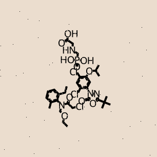 CC(C)Oc1cc(-n2nc(C(C)(C)C)oc2=O)c(Cl)cc1Cl.CCOCN(C(=O)CCl)c1c(C)cccc1CC.O=C(O)CNCP(=O)(O)O